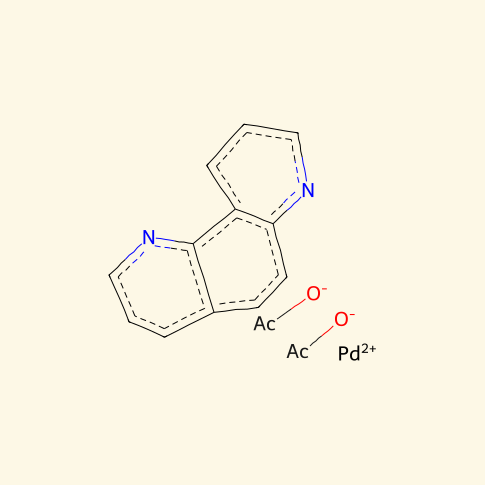 CC(=O)[O-].CC(=O)[O-].[Pd+2].c1cnc2c(c1)ccc1ncccc12